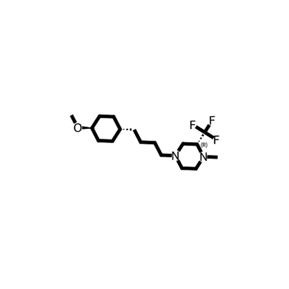 CO[C@H]1CC[C@H](CCCCN2CCN(C)[C@@H](C(F)(F)F)C2)CC1